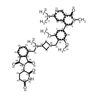 COc1cc(-c2cn(C)c(=O)c3cnc(N(C)C)cc23)cc(OC)c1CN1CC(N(C)Cc2cccc3c2C(=O)N(C2CCC(=O)NC2=O)C3=O)C1